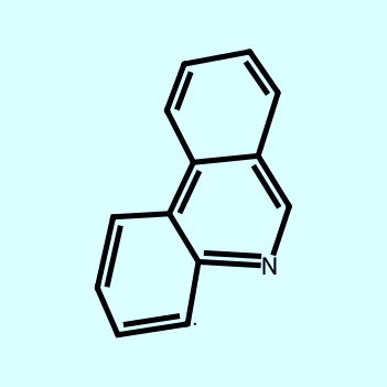 [c]1cccc2c1ncc1ccccc12